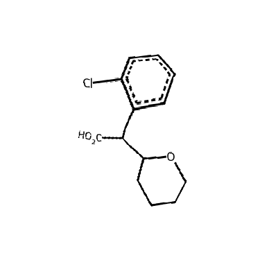 O=C(O)C(c1ccccc1Cl)C1CCCCO1